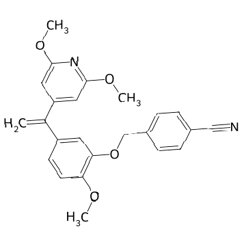 C=C(c1cc(OC)nc(OC)c1)c1ccc(OC)c(OCc2ccc(C#N)cc2)c1